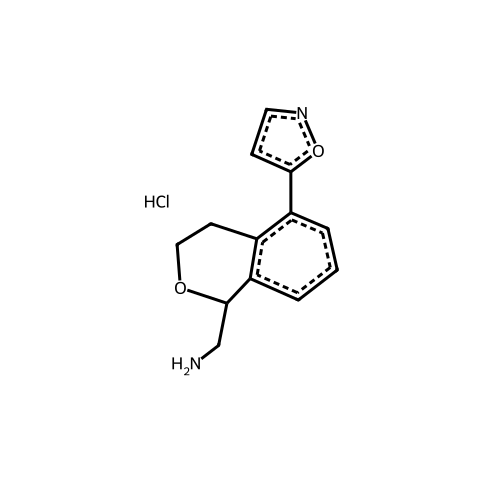 Cl.NCC1OCCc2c(-c3ccno3)cccc21